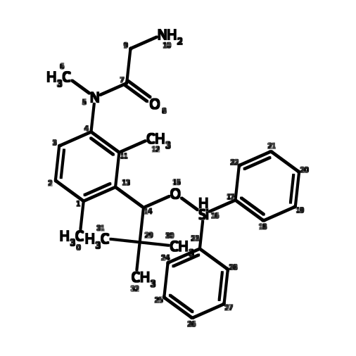 Cc1ccc(N(C)C(=O)CN)c(C)c1C(O[SiH](c1ccccc1)c1ccccc1)C(C)(C)C